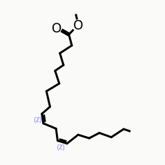 CCCCCC/C=C\C/C=C\CCCCCCCC(=O)OC